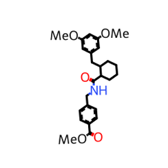 COC(=O)c1ccc(CNC(=O)C2CCCCC2Cc2cc(OC)cc(OC)c2)cc1